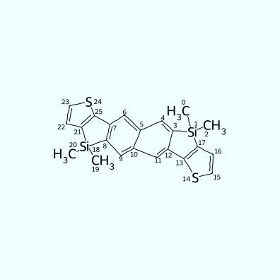 C[Si]1(C)c2cc3cc4c(cc3cc2-c2sccc21)[Si](C)(C)c1ccsc1-4